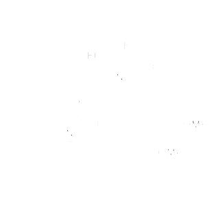 CCC(CC)n1cc(OC(=O)NC2CSc3ccccc32)c2cc(OC)c(OC)cc2c1=O